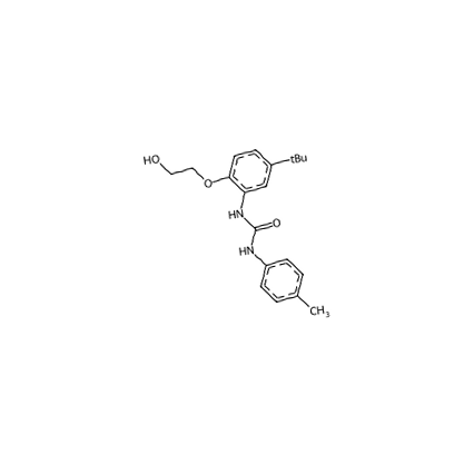 Cc1ccc(NC(=O)Nc2cc(C(C)(C)C)ccc2OCCO)cc1